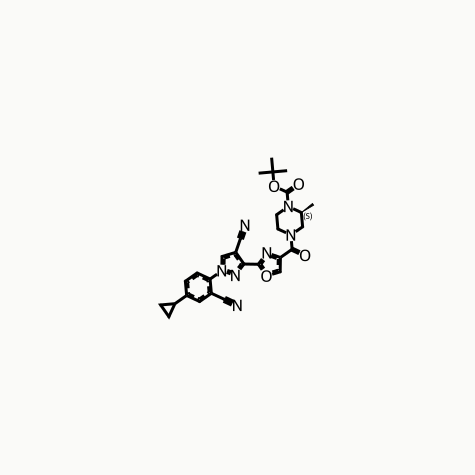 C[C@H]1CN(C(=O)c2coc(-c3nn(-c4ccc(C5CC5)cc4C#N)cc3C#N)n2)CCN1C(=O)OC(C)(C)C